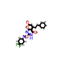 O=c1cc(CCC2CCCCC2)c2c(=O)[nH]c(ON=C3CCC(F)(F)CC3)nc2o1